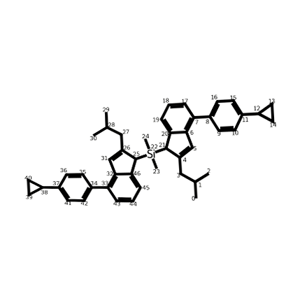 CC(C)CC1=Cc2c(-c3ccc(C4CC4)cc3)cccc2C1[Si](C)(C)C1C(CC(C)C)=Cc2c(-c3ccc(C4CC4)cc3)cccc21